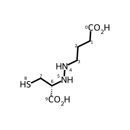 O=C(O)CCCNN[C@@H](CS)C(=O)O